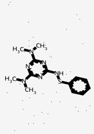 CN(C)c1nc(NSc2ccccc2)nc(N(C)C)n1